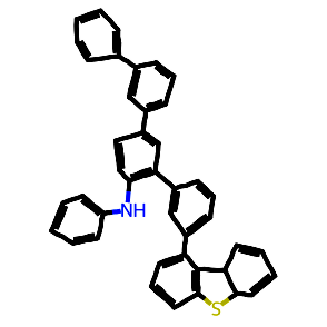 C1=CC2Sc3cccc(-c4cccc(-c5cc(-c6cccc(-c7ccccc7)c6)ccc5Nc5ccccc5)c4)c3C2C=C1